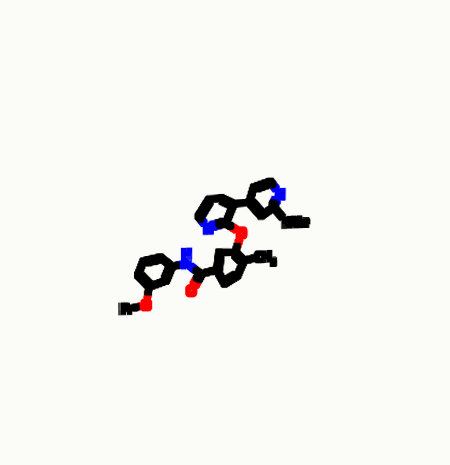 CNc1cc(-c2cccnc2Oc2cc(C(=O)Nc3cccc(OC(C)C)c3)ccc2C)ccn1